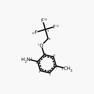 Cc1ccc(N)c(OCC(F)(F)F)c1